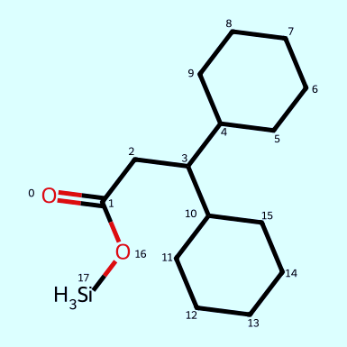 O=C(CC(C1CCCCC1)C1CCCCC1)O[SiH3]